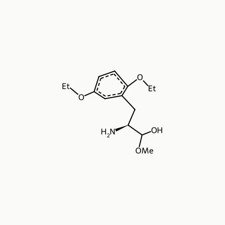 CCOc1ccc(OCC)c(C[C@H](N)C(O)OC)c1